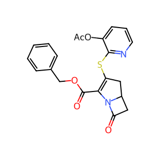 CC(=O)Oc1cccnc1SC1=C(C(=O)OCc2ccccc2)N2C(=O)CC2C1